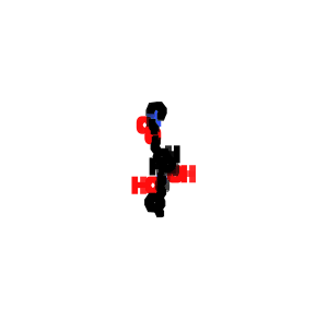 Cc1cccc(C[C@@H](O)/C=C/[C@@H]2[C@H]3CC(CCOCC(=O)N4CCCCC4)=C[C@H]3C[C@H]2O)c1